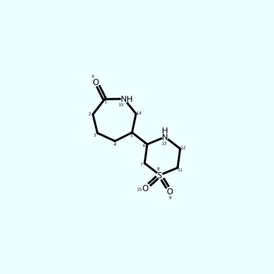 O=C1CCCC(C2CS(=O)(=O)CCN2)CN1